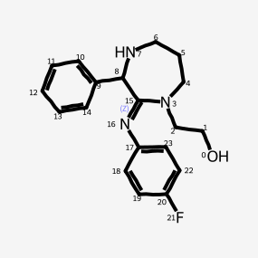 OCCN1CCCNC(c2ccccc2)/C1=N/c1ccc(F)cc1